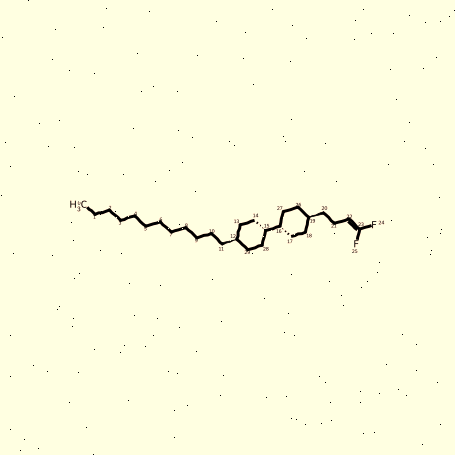 CCCCCCCCCCCC[C@H]1CC[C@H]([C@H]2CC[C@H](CCC=C(F)F)CC2)CC1